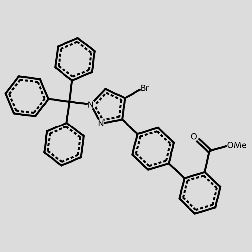 COC(=O)c1ccccc1-c1ccc(-c2nn(C(c3ccccc3)(c3ccccc3)c3ccccc3)cc2Br)cc1